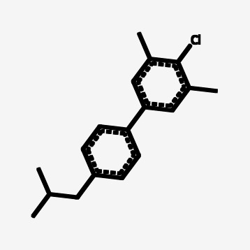 Cc1cc(-c2ccc(CC(C)C)cc2)cc(C)c1Cl